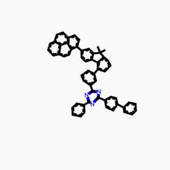 CC1(C)c2cc(-c3ccc4ccc5cccc6ccc3c4c56)ccc2-c2c(-c3cccc(-c4nc(-c5ccccc5)nc(-c5ccc(-c6ccccc6)cc5)n4)c3)cccc21